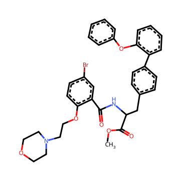 COC(=O)C(Cc1ccc(-c2ccccc2Oc2ccccc2)cc1)NC(=O)c1cc(Br)ccc1OCCN1CCOCC1